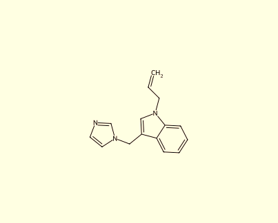 C=CCn1cc(Cn2ccnc2)c2ccccc21